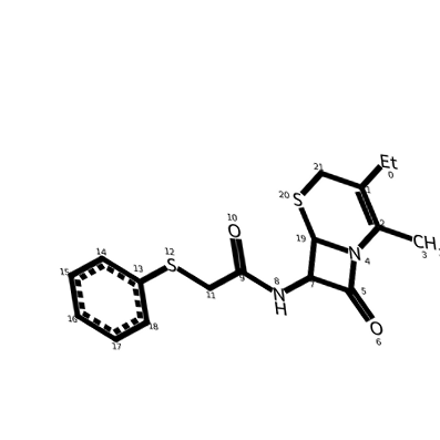 CCC1=C(C)N2C(=O)C(NC(=O)CSc3ccccc3)C2SC1